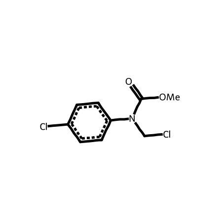 COC(=O)N(CCl)c1ccc(Cl)cc1